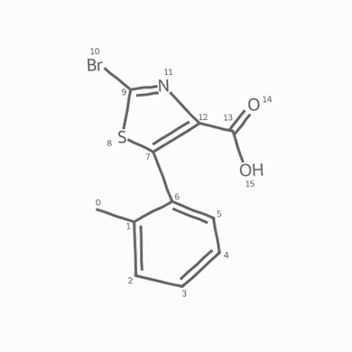 Cc1ccccc1-c1sc(Br)nc1C(=O)O